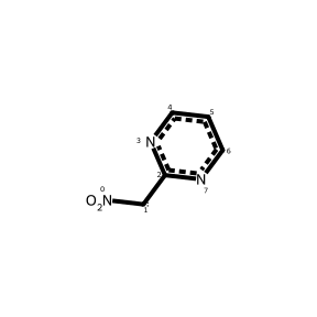 O=[N+]([O-])[C]c1ncccn1